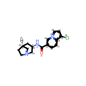 O=C(N[C@@H]1C[C@@H]2CCN(C2)C1)c1ccc2c(Cl)ccn2c1